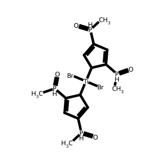 C[PH](=O)C1=C[CH]([Ti]([Br])([Br])[CH]2C=C([PH](C)=O)C=C2[PH](C)=O)C([PH](C)=O)=C1